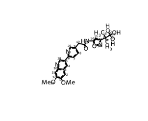 COc1cc2cc(-c3ccc(CC(=O)Nc4cc(C(C)(C)C(O)(O)O)no4)cn3)cnc2cc1OC